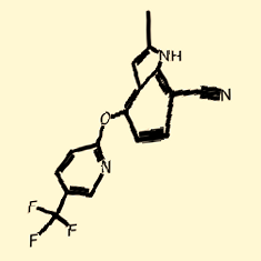 Cc1cc2c(Oc3ccc(C(F)(F)F)cn3)ccc(C#N)c2[nH]1